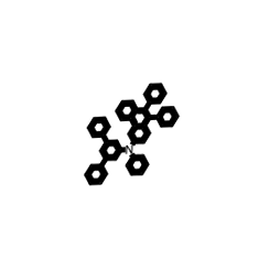 c1ccc(-c2cc(-c3ccccc3)cc(N(c3ccccc3)c3ccc4c(-c5ccccc5)c(-c5ccccc5)c5ccccc5c4c3)c2)cc1